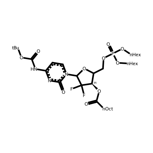 CCCCCCCCC(=O)O[C@@H]1C(COP(=O)(OCCCCCC)OCCCCCC)OC(n2ccc(NC(=O)OC(C)(C)C)nc2=O)C1(F)F